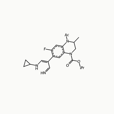 CC(=O)N1c2cc(F)c(/C(C=N)=C/NC3CC3)cc2N(C(=O)OC(C)C)CC1C